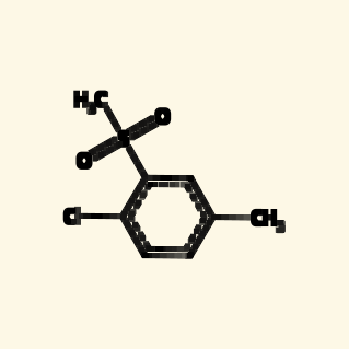 Cc1ccc(Cl)c(S(C)(=O)=O)c1